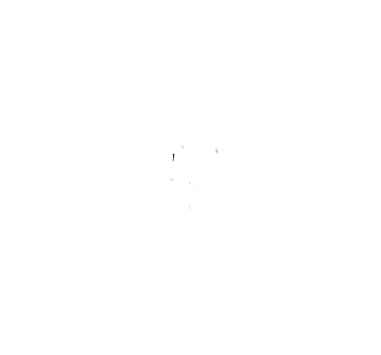 CC(=O)N(CC(C)C)[C@@H](C)C(C)(C)C